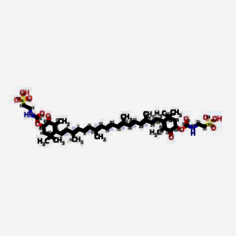 CC1=C(/C=C/C(C)=C/C=C/C(C)=C/C=C/C=C(C)/C=C/C=C(C)/C=C/C2=C(C)C(=O)C(OC(=O)NCCS(=O)(=O)O)CC2(C)C)C(C)(C)CC(OC(=O)NCCS(=O)(=O)O)C1=O